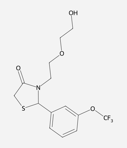 O=C1CSC(c2cccc(OC(F)(F)F)c2)N1CCOCCO